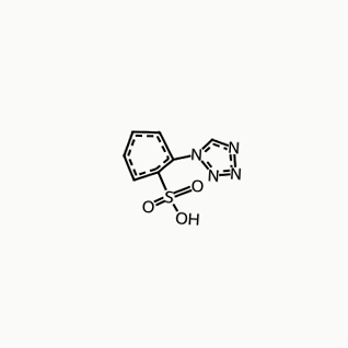 O=S(=O)(O)c1ccccc1-n1cnnn1